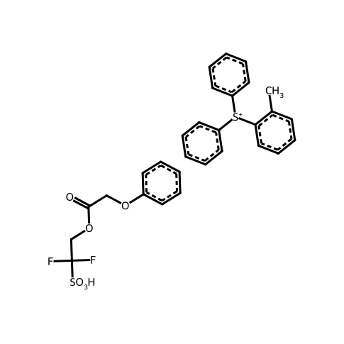 Cc1ccccc1[S+](c1ccccc1)c1ccccc1.O=C(COc1ccccc1)OCC(F)(F)S(=O)(=O)O